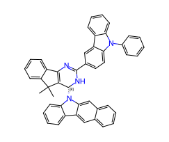 CC1(C)C2=C(N=C(c3ccc4c(c3)c3ccccc3n4-c3ccccc3)N[C@@H]2n2c3ccccc3c3cc4ccccc4cc32)c2ccccc21